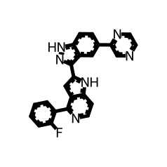 Fc1ccccc1-c1nccc2[nH]c(-c3n[nH]c4ccc(-c5cnccn5)cc34)cc12